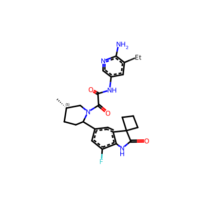 CCc1cc(NC(=O)C(=O)N2C[C@@H](C)CCC2c2cc(F)c3c(c2)C2(CCC2)C(=O)N3)cnc1N